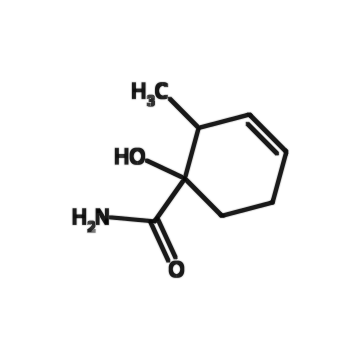 CC1C=CCCC1(O)C(N)=O